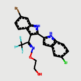 OCCO/N=C(/c1c(-c2cc3cc(Cl)ccc3[nH]2)[nH]c2cc(Br)ccc12)C(F)(F)F